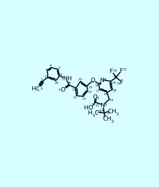 C#Cc1cccc(NC(=O)c2cccc(Oc3cc(CN(C(=O)O)C(C)(C)C)cc(C(F)(F)F)n3)c2)c1